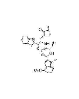 CCn1c(C(=O)N[C@@H](CC(C)C)C(=O)N[C@@H](CC2CCNC2=O)C(=O)c2nc3ccccc3s2)cc2c(OC)cccc21